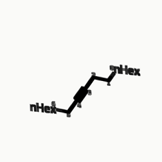 [CH2]CCCCCCCC#CCCCCCCC